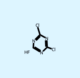 Clc1ncnc(Cl)n1.F